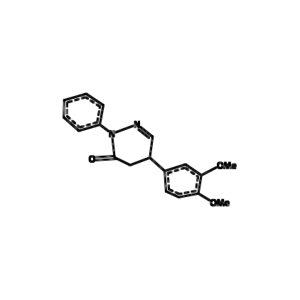 COc1ccc(C2C=NN(c3ccccc3)C(=O)C2)cc1OC